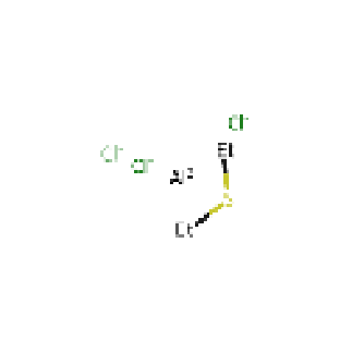 CCSCC.[Al+3].[Cl-].[Cl-].[Cl-]